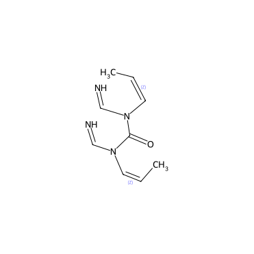 C/C=C\N(C=N)C(=O)N(C=N)/C=C\C